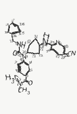 CN(C)C(=O)c1ccc(N(C(=O)NCc2ccccc2)[C@H]2CC[C@H](Nc3ccc(C#N)cn3)CC2)cc1